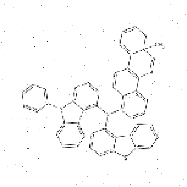 CC12C=Cc3c(ccc4c(N(c5cccc6sc7ccccc7c56)c5cccc6c5c5ccccc5n6-c5ccccc5)cccc34)C1=CC=CC2